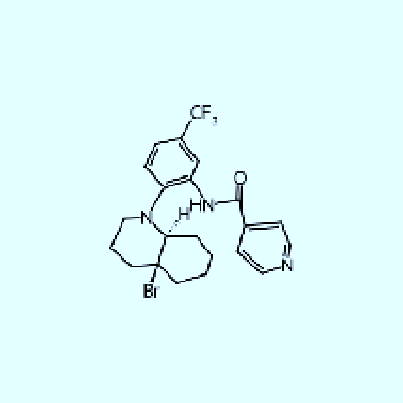 O=C(Nc1cc(C(F)(F)F)ccc1N1CCC[C@@]2(Br)CCCC[C@H]12)c1ccncc1